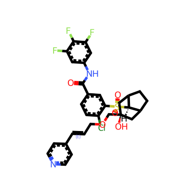 O=C(Nc1cc(F)c(F)c(F)c1)c1ccc(Cl)c(S(=O)(=O)[C@H]2C3CCC2C[C@](O)(COC/C=C/c2ccncc2)C3)c1